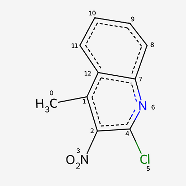 Cc1c([N+](=O)[O-])c(Cl)nc2ccccc12